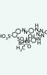 C=C(Br)C(=O)Nc1ccc(Nc2nc(Cl)nc(Nc3ccc(N=Nc4ccc5cc(S(=O)(=O)O)cc(S(=O)(=O)O)c5c4)c(C)c3)n2)cc1